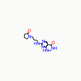 O=C1NCNc2nc(NCCCN3CCCC3=O)ncc21